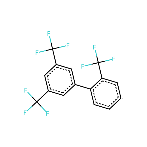 FC(F)(F)c1cc(-c2cc[c]cc2C(F)(F)F)cc(C(F)(F)F)c1